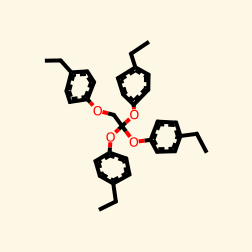 CCc1ccc(OCC(Oc2ccc(CC)cc2)(Oc2ccc(CC)cc2)Oc2ccc(CC)cc2)cc1